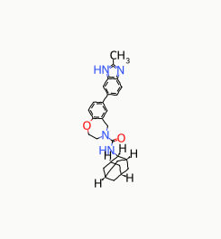 Cc1nc2ccc(-c3ccc4c(c3)CN(C(=O)N[C@H]3[C@H]5C[C@H]6C[C@H](C5)C[C@H]3C6)CCO4)cc2[nH]1